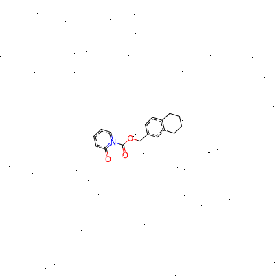 O=C(OCc1ccc2c(c1)CCCC2)n1ccccc1=O